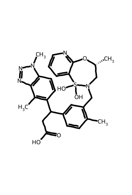 Cc1ccc(C(CC(=O)O)c2ccc3c(nnn3C)c2C)cc1CN1C[C@@H](C)Oc2ncccc2S1(O)O